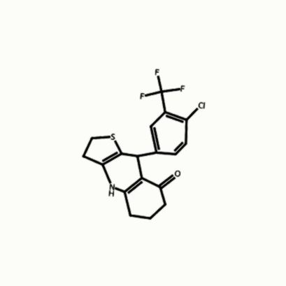 O=C1CCCC2=C1C(c1ccc(Cl)c(C(F)(F)F)c1)C1=C(CCS1)N2